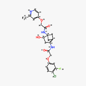 O=C(COc1ccc(Cl)c(F)c1)NC1=C2CC(NC(=O)COc3ccnc(C(F)(F)F)c3)(C2)C(O)C1